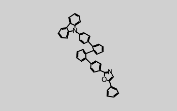 c1ccc(-c2cnc(-c3ccc(-c4ccccc4-c4ccccc4-c4ccc(-n5c6ccccc6c6ccccc65)cc4)cc3)o2)cc1